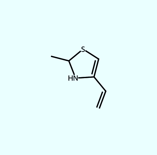 C=CC1=CSC(C)N1